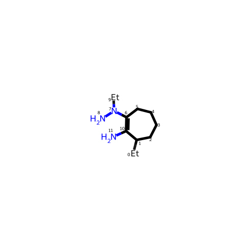 CCC1CCCCC(N(N)CC)=C1N